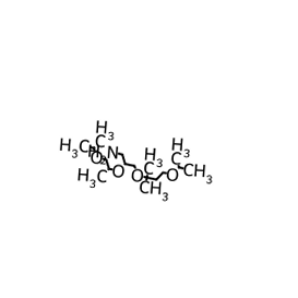 CC(C)OCCC(C)(C)OCC(CN)OC(C)COC(C)C